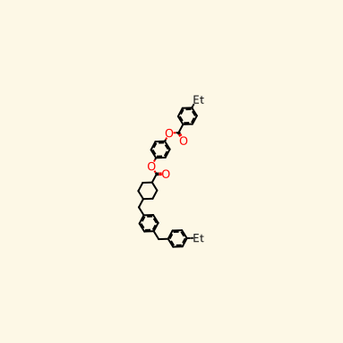 CCc1ccc(Cc2ccc(CC3CCC(C(=O)Oc4ccc(OC(=O)c5ccc(CC)cc5)cc4)CC3)cc2)cc1